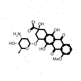 CCC(=O)[C@]1(O)Cc2c(O)c3c(c(O)c2[C@@H](O[C@H]2C[C@@H](N)[C@@H](O)[C@H](C)O2)C1)C(=O)c1c(OC)cccc1C3=O